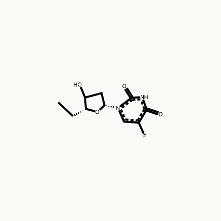 CC[C@H]1O[C@@H](n2cc(F)c(=O)[nH]c2=O)CC1O